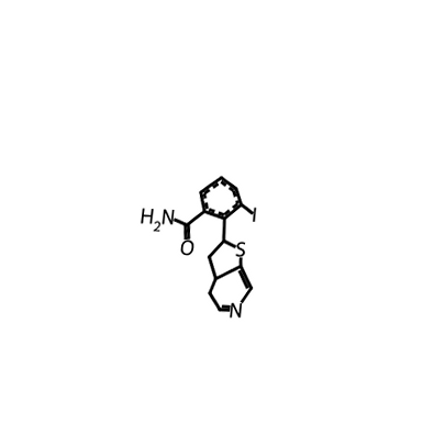 NC(=O)c1cccc(I)c1C1CC2CC=NC=C2S1